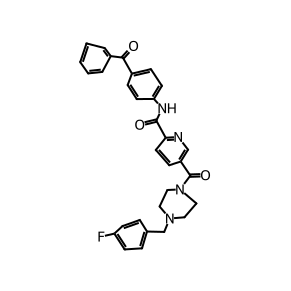 O=C(c1ccccc1)c1ccc(NC(=O)c2ccc(C(=O)N3CCN(Cc4ccc(F)cc4)CC3)cn2)cc1